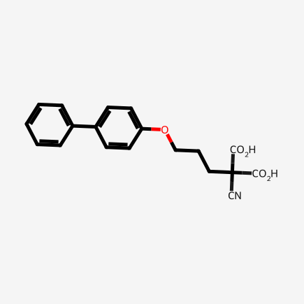 N#CC(CCCOc1ccc(-c2ccccc2)cc1)(C(=O)O)C(=O)O